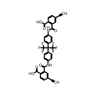 C#Cc1ccc(C(=O)O)c(C(=O)Nc2ccc(C(c3ccc(NC(=O)c4cc(C#C)ccc4C(=O)O)cc3)(C(F)(F)F)C(F)(F)F)cc2)c1